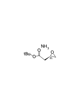 CC(C)(C)OC(=O)C[C@@H]1CO1.N